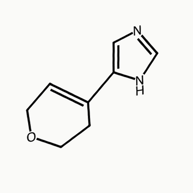 C1=C(c2cnc[nH]2)CCOC1